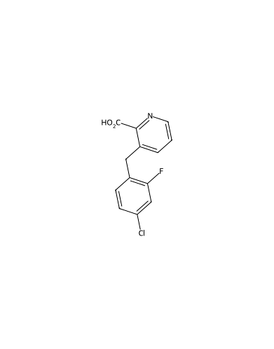 O=C(O)c1ncccc1Cc1ccc(Cl)cc1F